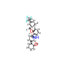 Cc1cc([C@@H](C)OC[C@@]2(c3ccccc3)CC[C@H](C3CCCCC3=O)CN2)cc(C(F)(F)F)c1